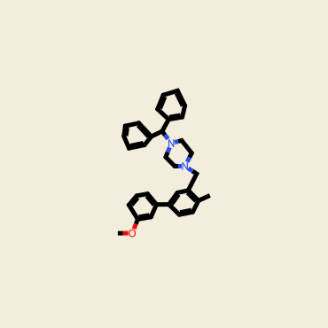 COc1cccc(-c2ccc(C)c(CN3CCN(C(c4ccccc4)c4ccccc4)CC3)c2)c1